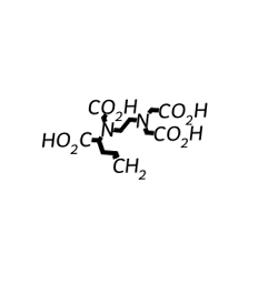 C=CCC(C(=O)O)N(CCN(CC(=O)O)CC(=O)O)CC(=O)O